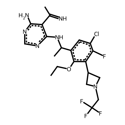 CCOc1c(C(C)Nc2ncnc(N)c2C(C)=N)cc(Cl)c(F)c1C1CN(CC(F)(F)F)C1